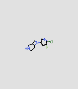 Fc1cc(N2CC3CNCCC32)cnc1Cl